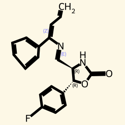 C=C/C=C(\N=C\[C@H]1NC(=O)O[C@@H]1c1ccc(F)cc1)c1ccccc1